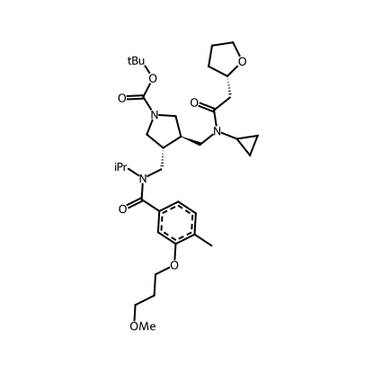 COCCCOc1cc(C(=O)N(C[C@@H]2CN(C(=O)OC(C)(C)C)C[C@H]2CN(C(=O)C[C@@H]2CCCO2)C2CC2)C(C)C)ccc1C